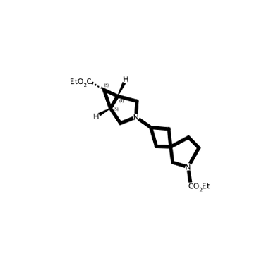 CCOC(=O)[C@@H]1[C@@H]2CN(C3CC4(CCN(C(=O)OCC)C4)C3)C[C@@H]21